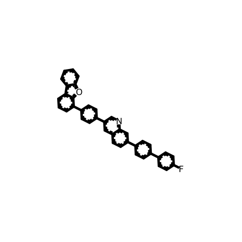 Fc1ccc(-c2ccc(-c3ccc4cc(-c5ccc(-c6cccc7c6oc6ccccc67)cc5)cnc4c3)cc2)cc1